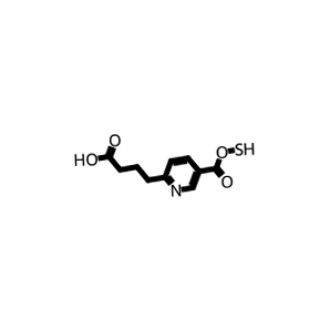 O=C(O)CCCc1ccc(C(=O)OS)cn1